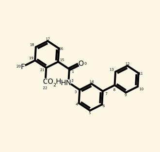 O=C(Nc1cccc(-c2ccccc2)c1)c1cccc(F)c1C(=O)O